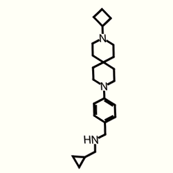 c1cc(N2CCC3(CC2)CCN(C2CCC2)CC3)ccc1CNCC1CC1